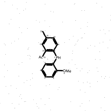 COc1ccccc1Pc1ccc(C)cc1C(C)=O